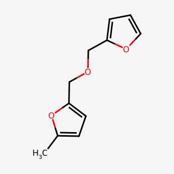 Cc1ccc(COCc2ccco2)o1